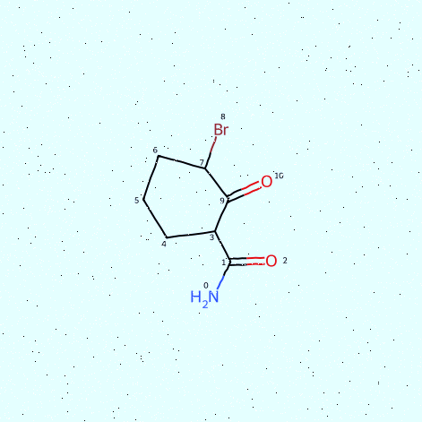 NC(=O)C1CCCC(Br)C1=O